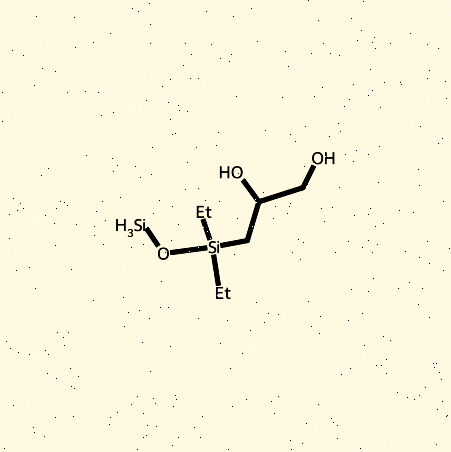 CC[Si](CC)(CC(O)CO)O[SiH3]